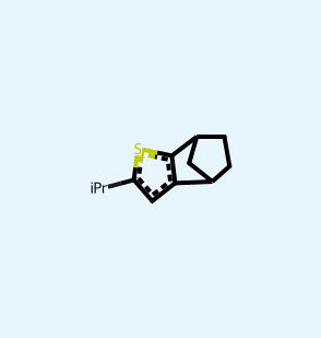 CC(C)c1cc2c(s1)C1CCC2C1